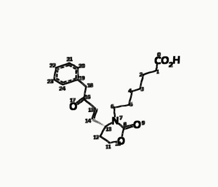 O=C(O)CCCCCCN1C(=O)OCC[C@@H]1/C=C/C(=O)Cc1ccccc1